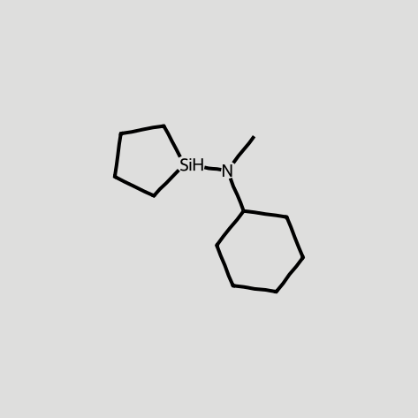 CN(C1CCCCC1)[SiH]1CCCC1